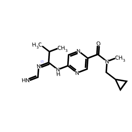 CC(C)/C(=N/C=N)Nc1cnc(C(=O)N(C)CC2CC2)cn1